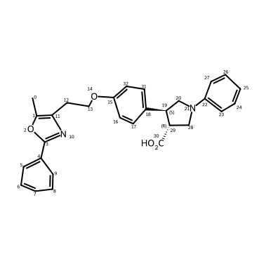 Cc1oc(-c2ccccc2)nc1CCOc1ccc([C@H]2CN(c3ccccc3)C[C@@H]2C(=O)O)cc1